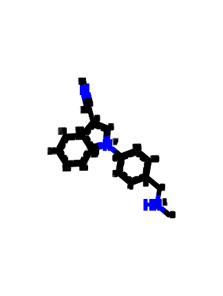 CNCc1ccc(-n2cc(C#N)c3ccccc32)cc1